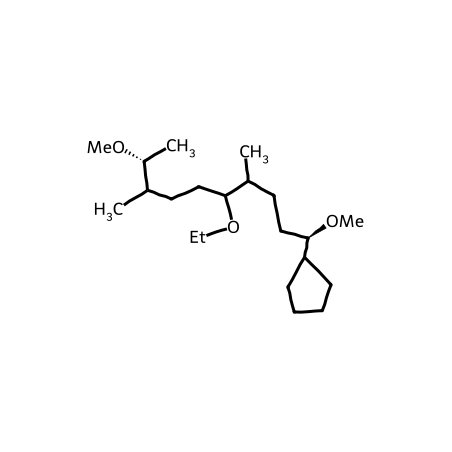 CCOC(CCC(C)[C@@H](C)OC)C(C)CC[C@@H](OC)C1CCCC1